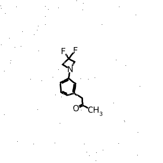 CC(=O)Cc1cccc(N2CC(F)(F)C2)c1